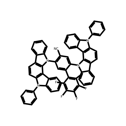 N#Cc1cc(-n2c3ccccc3c3ccc4c(c5ccccc5n4-c4ccccc4)c32)c(-c2c(F)c(F)c(F)c(F)c2F)cc1-n1c2ccccc2c2ccc3c(c4ccccc4n3-c3ccccc3)c21